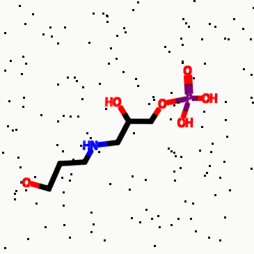 [O]CCCNCC(O)COP(=O)(O)O